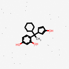 CC(c1ccc(O)cc1O)(C1C=CC(O)=C1)C1CCCCC1